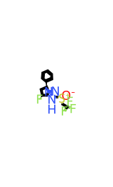 [O-][S+](CC(F)(F)F)C1=NN2C(N1)[C@@H](F)C[C@H]2c1ccccc1